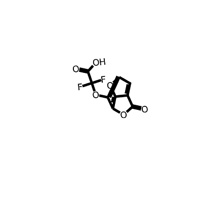 O=C1Oc2c(OC(F)(F)C(=O)O)c3cc1c2o3